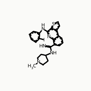 CN1CCC(NC(=N)c2cccc3c2nc(Nc2ccccc2I)c2sccc23)CC1